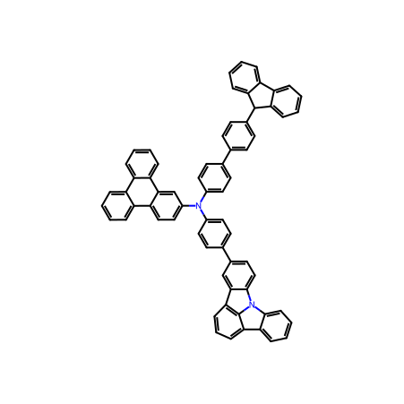 c1ccc2c(c1)-c1ccccc1C2c1ccc(-c2ccc(N(c3ccc(-c4ccc5c(c4)c4cccc6c7ccccc7n5c64)cc3)c3ccc4c5ccccc5c5ccccc5c4c3)cc2)cc1